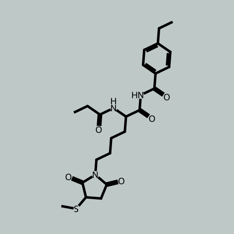 CCC(=O)NC(CCCCN1C(=O)CC(SC)C1=O)C(=O)NC(=O)c1ccc(CC)cc1